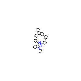 c1ccc(-c2nc(-c3cccc(-c4cccc(-c5ccc6c7ccccc7c7ccccc7c6c5)c4)c3)nc3c2c2ccccc2n3-c2ccccc2)cc1